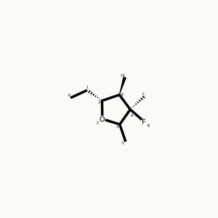 CC[C@H]1OC(C)[C@](C)(F)[C@@H]1C